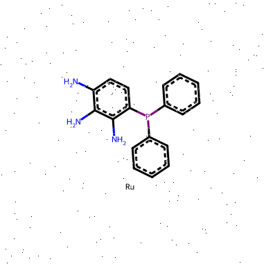 Nc1ccc(P(c2ccccc2)c2ccccc2)c(N)c1N.[Ru]